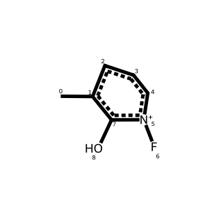 Cc1ccc[n+](F)c1O